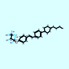 CCCCC1CCC(c2ccc(/C=C/c3ccc(OC(F)(F)C(F)C(F)(F)F)cc3)cc2)CC1